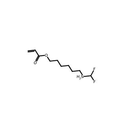 C=CC(=O)OCCCCCC[SiH2]C(F)F